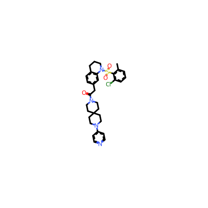 Cc1cccc(Cl)c1S(=O)(=O)N1CCCc2ccc(CC(=O)N3CCC4(CC3)CCN(c3ccncc3)CC4)cc21